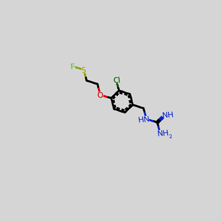 N=C(N)NCc1ccc(OCCSF)c(Cl)c1